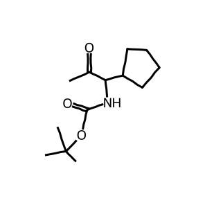 CC(=O)C(NC(=O)OC(C)(C)C)C1CCCC1